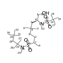 CC(CCC(C)(C)C[C@@H](CO)N(C)S(=O)(=O)C(C)(C)C)S(=O)(=O)N(C)C(C)(C)CC(C)(C)C